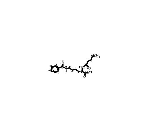 C=CCCC(=O)N[C@@H](CCCCNC(=O)c1ccncc1)C(=O)O